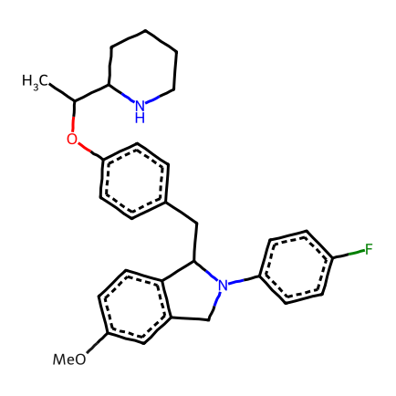 COc1ccc2c(c1)CN(c1ccc(F)cc1)C2Cc1ccc(OC(C)C2CCCCN2)cc1